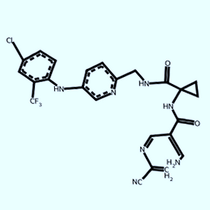 C=C(C#N)/N=C\C(=C/N)C(=O)NC1(C(=O)NCc2ccc(Nc3ccc(Cl)cc3C(F)(F)F)cn2)CC1